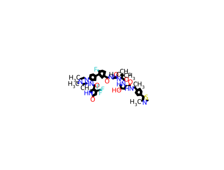 Cc1ncsc1-c1ccc(C(C)NC(=O)[C@H]2C[C@H](O)CN2C(=O)C(NC(=O)CNC(=O)c2ccc(F)c(-c3ccc(N4C[C@@H](C)N(C)[C@@H](C)C4)c(NC(=O)c4c[nH]c(=O)cc4C(F)(F)F)c3)c2)C(C)(C)C)cc1